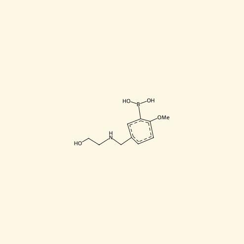 COc1ccc(CNCCO)cc1B(O)O